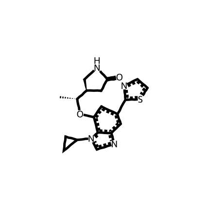 C[C@@H](Oc1cc(-c2nccs2)cc2ncn(C3CC3)c12)[C@H]1CNC(=O)C1